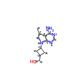 Nc1ncnc2c1c(I)cn2C1CC(CO)C1